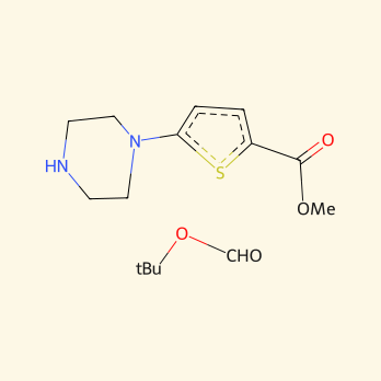 CC(C)(C)OC=O.COC(=O)c1ccc(N2CCNCC2)s1